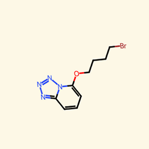 BrCCCCOc1cccc2nnnn12